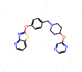 c1cnc2nc(Oc3ccc(CN4CCC(Oc5cnccn5)CC4)cc3)sc2c1